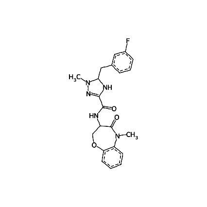 CN1C(=O)C(NC(=O)C2=NN(C)C(Cc3cccc(F)c3)N2)COc2ccccc21